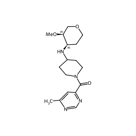 CO[C@H]1COCC[C@H]1NC1CCN(C(=O)c2cc(C)ncn2)CC1